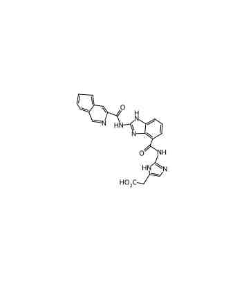 O=C(O)Cc1cnc(NC(=O)c2cccc3[nH]c(NC(=O)c4cc5ccccc5cn4)nc23)[nH]1